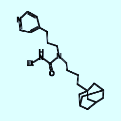 CCNC(=O)N(CCCCC12CC3CC(CC(C3)C1)C2)CCCc1ccncc1